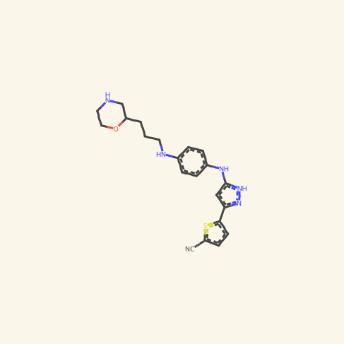 N#Cc1ccc(-c2cc(Nc3ccc(NCCCC4CNCCO4)cc3)[nH]n2)s1